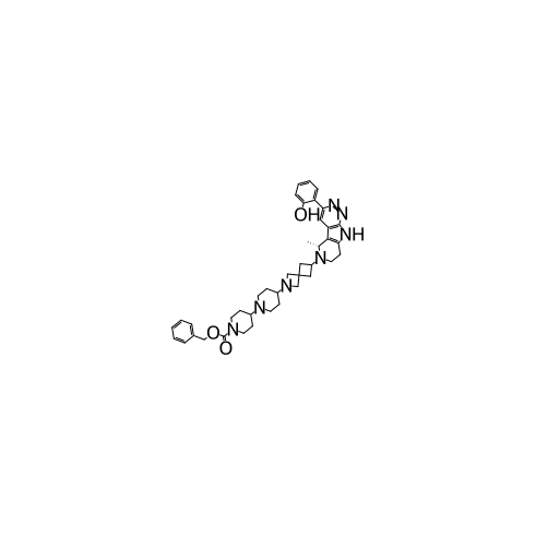 C[C@@H]1c2c([nH]c3nnc(-c4ccccc4O)cc23)CCN1C1CC2(C1)CN(C1CCN(C3CCN(C(=O)OCc4ccccc4)CC3)CC1)C2